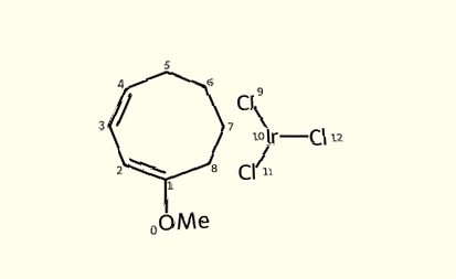 COC1=CC=CCCCC1.[Cl][Ir]([Cl])[Cl]